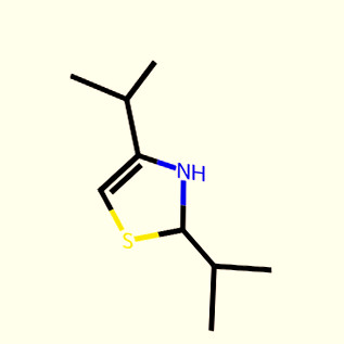 CC(C)C1=CSC(C(C)C)N1